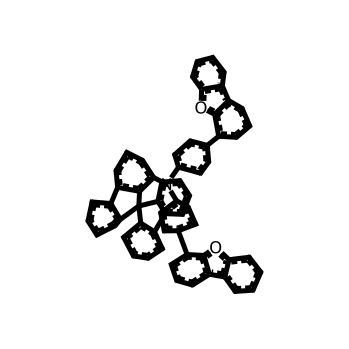 c1ccc2c(c1)-c1ccccc1C21c2ccccc2-c2cccc(N(c3ccc(-c4cccc5c4oc4ccccc45)cc3)c3ccc(-c4cccc5c4oc4ccccc45)cc3)c21